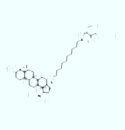 C=C(C)[C@@H]1CC[C@]2(C(=O)NCCCCCCCCCCC(=O)N[C@H](CC(C)C)[C@H](O)CC(=O)O)CC[C@]3(C)[C@H](CCC4[C@@]5(C)CC[C@H](O)C(C)(C)[C@@H]5CC[C@]43C)[C@@H]12